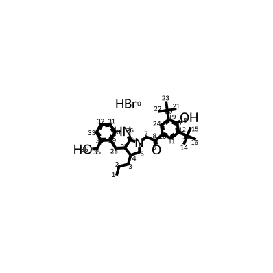 Br.CCCC1CN(CC(=O)c2cc(C(C)(C)C)c(O)c(C(C)(C)C)c2)C(=N)C1Cc1ccccc1CO